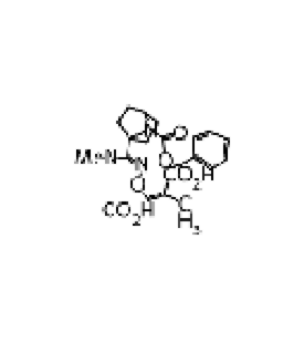 CNC(=NOC(C(=O)O)=C(C)C(=O)O)C12CCC(CC1)N2C(=O)OCc1ccccc1